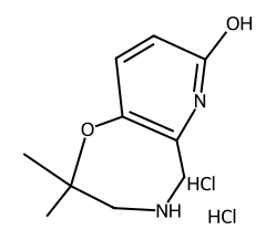 CC1(C)CNCc2nc(O)ccc2O1.Cl.Cl